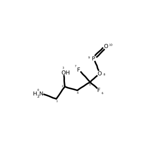 NCC(O)CC(F)(F)OP=O